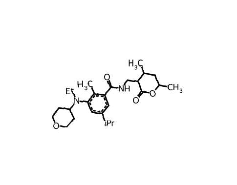 CCN(c1cc(C(C)C)cc(C(=O)NCC2C(=O)OC(C)CC2C)c1C)C1CCOCC1